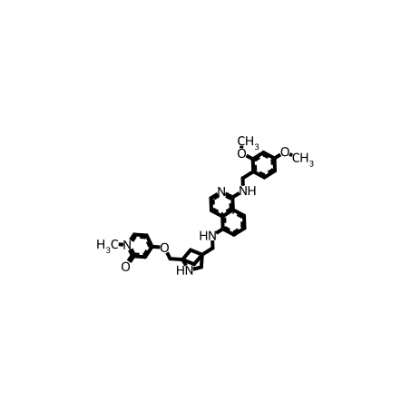 COc1ccc(CNc2nccc3c(NCC45CNC(COc6ccn(C)c(=O)c6)(C4)C5)cccc23)c(OC)c1